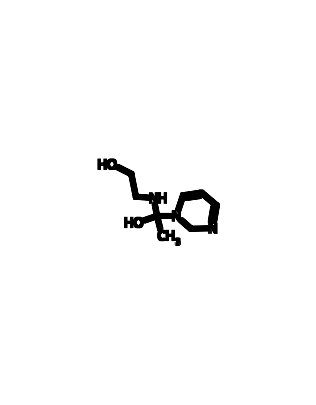 CC(O)(NCCO)N1C=CC=NC1